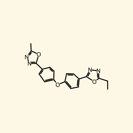 CCc1nnc(-c2ccc(Oc3ccc(-c4nnc(C)o4)cc3)cc2)o1